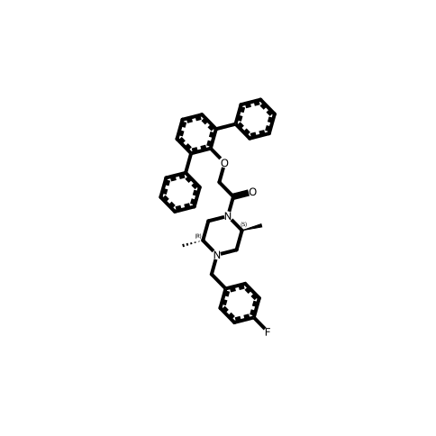 C[C@@H]1CN(C(=O)COc2c(-c3ccccc3)cccc2-c2ccccc2)[C@@H](C)CN1Cc1ccc(F)cc1